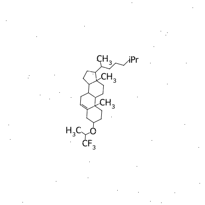 CC(C)CCCC(C)C1CCC2C3CC=C4CC(OC(C)C(F)(F)F)CCC4(C)C3CCC12C